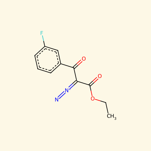 CCOC(=O)C(=[N+]=[N-])C(=O)c1cccc(F)c1